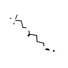 C[Si](C)(C)CCOC(=O)CCCN=C=O